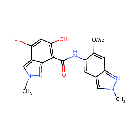 COc1cc2nn(C)cc2cc1NC(=O)c1c(O)cc(Br)c2cn(C)nc12